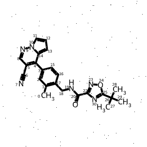 Cc1cc(-c2c(C#N)cnn3cccc23)ccc1CNC(=O)c1noc(C(C)(C)C)n1